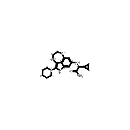 NC(=O)[C@@H](Nc1cc2c3c(c(N4CCCCC4)[nH]c3c1)NCCO2)C1CC1